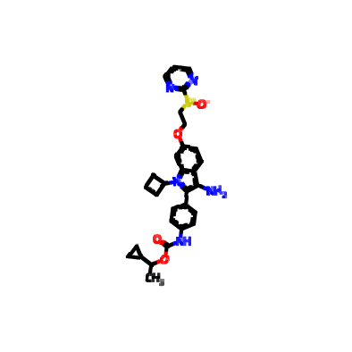 CC(OC(=O)Nc1ccc(-c2c(N)c3ccc(OCC[S+]([O-])c4ncccn4)cc3n2C2CCC2)cc1)C1CC1